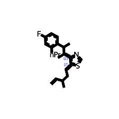 C=CC(C)C/C=c1\scn\c1=C(\C)C(C)c1ccc(F)cc1CCC